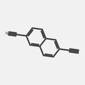 C#Cc1ccc2cc(C#N)ccc2c1